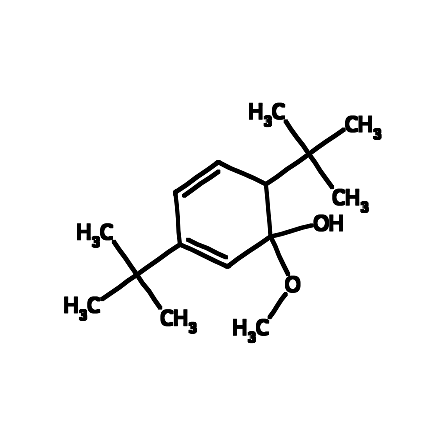 COC1(O)C=C(C(C)(C)C)C=CC1C(C)(C)C